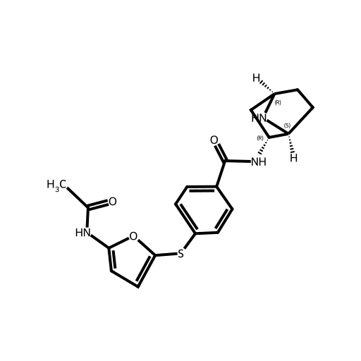 CC(=O)Nc1ccc(Sc2ccc(C(=O)N[C@@H]3C[C@H]4CC[C@@H]3N4)cc2)o1